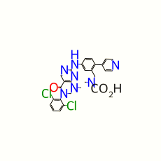 CN(Cc1cc(Nc2ncc3c(n2)N(C)CN(c2c(Cl)cccc2Cl)C3=O)ccc1-c1ccncc1)C(=O)O